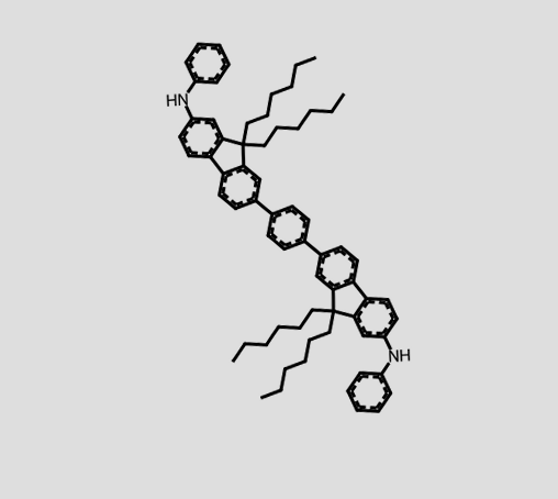 CCCCCCC1(CCCCCC)c2cc(Nc3ccccc3)ccc2-c2ccc(-c3ccc(-c4ccc5c(c4)C(CCCCCC)(CCCCCC)c4cc(Nc6ccccc6)ccc4-5)cc3)cc21